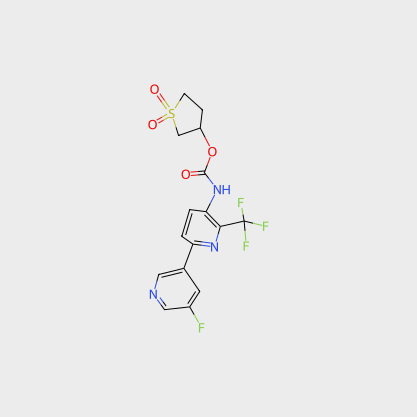 O=C(Nc1ccc(-c2cncc(F)c2)nc1C(F)(F)F)OC1CCS(=O)(=O)C1